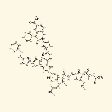 CNC(=O)C[C@H](NC(=O)c1csc(-c2ccc(-c3nc(N(Cc4ccc(C(=O)O)cc4)C(=O)OC4CCCCC4)cs3)nc2-c2csc(-c3csc(CCc4ccccc4)n3)n2)n1)c1nc(C(=O)NCc2nc(C(=O)NCC(N)=O)c(COC)s2)c(C)s1